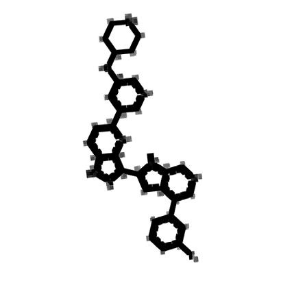 Fc1cccc(-c2cncc3[nH]c(-c4n[nH]c5ccc(-c6cncc(OC7CCNCC7)c6)nc45)cc23)c1